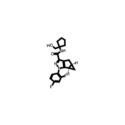 O=C(NC1(CO)CCCC1)c1nn(-c2ccc(F)cc2F)c2c1C[C@H]1C[C@@H]21